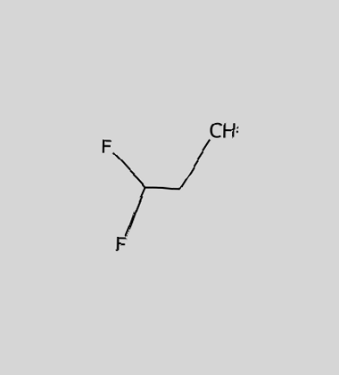 [CH]CC(F)F